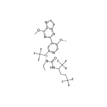 CCN(C(=O)NC(CCC(F)(F)F)C(F)(F)F)[C@@H](c1cc(-c2nc(OC)c3nccn3n2)c(OC)cn1)C(F)(F)F